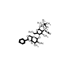 CC(=O)OCC1O[C@@H](O[Si](C)(C)C(C)(C)C(C)C)C(N=[N+]=[N-])[C@@H](C)[C@@H]1O[C@@H]1OC2COC(c3ccccc3)O[C@H]2[C@H](C)C1OC(C)=O